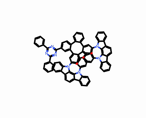 c1ccc(-c2nc(-c3ccccc3)nc(-c3ccc4c(c3)-c3cc(-n5c6ccccc6c6ccc7c8ccccc8n(-c8ccccc8)c7c65)ccc3-c3ccc(-n5c6ccccc6c6ccc7c8ccccc8n(-c8ccccc8)c7c65)cc3-c3ccccc3-4)n2)cc1